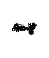 CS(=O)(=O)CC(=O)NC(CCN1CC2CN(C(=O)c3c(F)cccc3Cl)C[C@@H]2C1)c1ccccc1